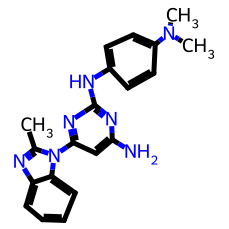 Cc1nc2ccccc2n1-c1cc(N)nc(Nc2ccc(N(C)C)cc2)n1